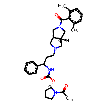 CC(=O)N1CCC[C@@H]1OC(=O)NC(CCN1CC2CN(C(=O)c3c(C)cccc3C)C[C@@H]2C1)c1ccccc1